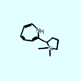 C[Si]1(C)CCCC1C1=CC=CC=CN1